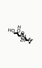 C[N+](C)(C)CCO[PH](=O)CC(O)CO.[Zn+2]